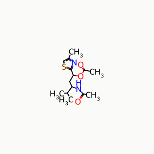 CC(=O)NC(CC(OC(C)=O)c1nc(C)cs1)C(C)C